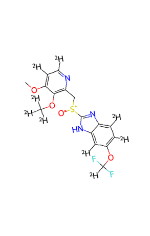 [2H]c1nc(C[S+]([O-])c2nc3c([2H])c([2H])c(OC([2H])(F)F)c([2H])c3[nH]2)c(OC([2H])([2H])[2H])c(OC)c1[2H]